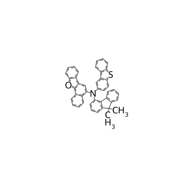 CC1(C)c2ccccc2-c2c(N(c3ccc4sc5ccccc5c4c3)c3cc4c5ccccc5oc4c4ccccc34)cccc21